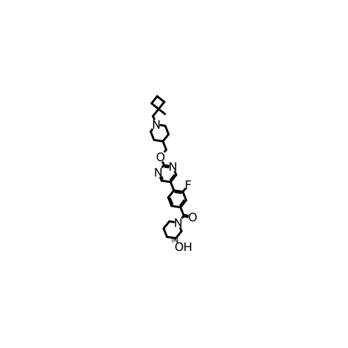 CC1(CN2CCC(COc3ncc(-c4ccc(C(=O)N5CCC[C@@H](O)C5)cc4F)cn3)CC2)CCC1